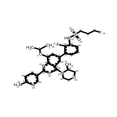 CC(C)Oc1cc(-c2cccc(NS(=O)(=O)CCCF)c2F)cc2c(N3CCOCC3C)nc(-c3ccc(N)nc3)nc12